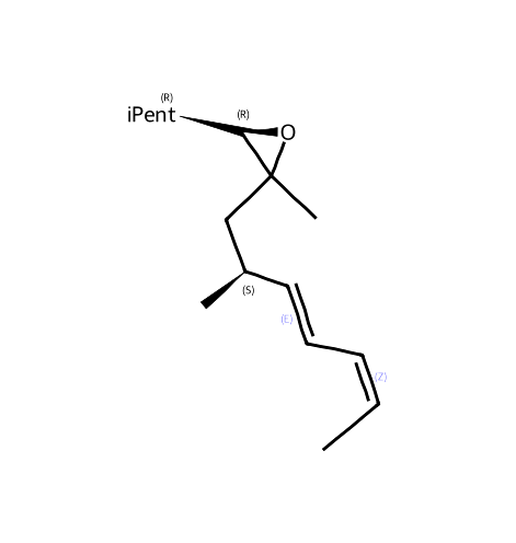 C/C=C\C=C\[C@@H](C)CC1(C)O[C@@H]1[C@H](C)CCC